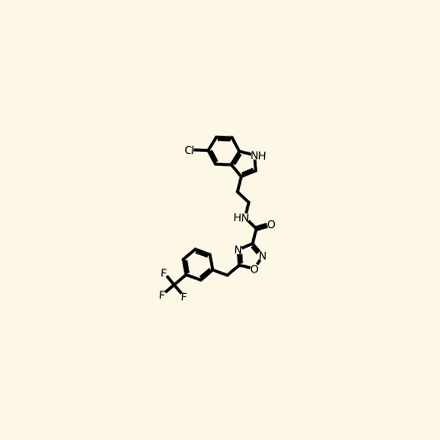 O=C(NCCc1c[nH]c2ccc(Cl)cc12)c1noc(Cc2cccc(C(F)(F)F)c2)n1